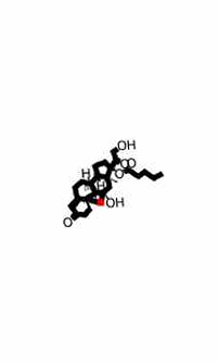 CCCCC(=O)O[C@]1(C(=O)CO)CC[C@H]2[C@@H]3CCC4=CC(=O)CC[C@@]45C[C@](O)(C[C@@]21C)[C@@H]35